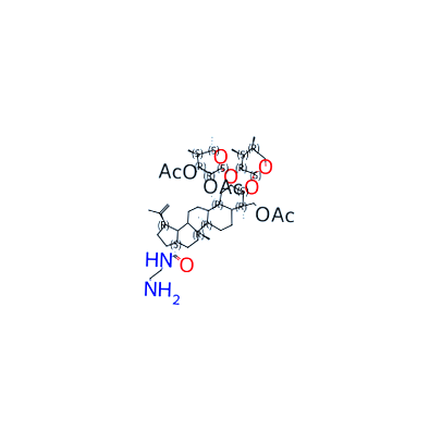 C=C(C)[C@@H]1CC[C@]2(C(=O)NCCN)CC[C@]3(C)C(CCC4[C@@]5(C)CC[C@H](O[C@@H]6OC[C@H](C)[C@H](C)[C@H]6O[C@@H]6O[C@@H](C)[C@H](C)[C@@H](OC(C)=O)[C@H]6OC(C)=O)[C@@](C)(COC(C)=O)C5CC[C@]43C)C12